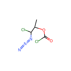 CC(OC(=O)Cl)C(Cl)N=[N+]=[N-]